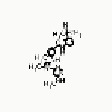 CNc1cc(-n2nc(C)cc2Nc2cc(C(=O)Nc3cccc(C(C)(C)C#N)c3)ccc2C)ncn1